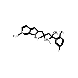 Cc1ccc(F)cc1C(C)(C)CC(O)(CC1C=C2C=CN(N)C=C2N1)C(F)(F)F